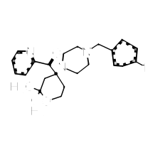 CC1(C)CC(C(=O)c2ccccn2)(N2CCN(Cc3ccc(F)cc3)CC2)CCO1